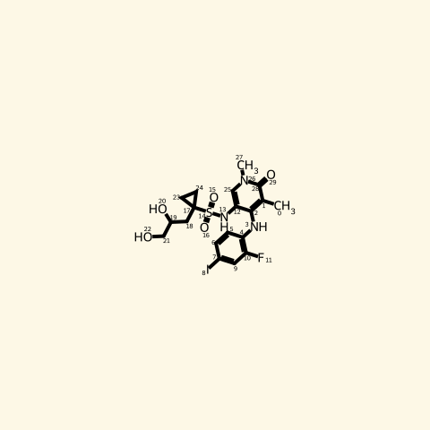 Cc1c(Nc2ccc(I)cc2F)c(NS(=O)(=O)C2(CC(O)CO)CC2)cn(C)c1=O